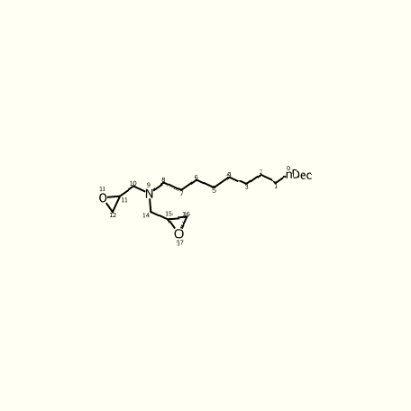 CCCCCCCCCCCCCCCCCCN(CC1CO1)CC1CO1